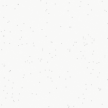 N#Cc1ccc(N2CCN(c3ccc(-c4ccc(C(F)(F)[C@]5(O)Cn6nnnc6-c6cc(F)ccc65)nc4)cc3F)CC2)c(F)c1